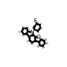 Fc1cccc(-n2c3ccccc3c3ccc4c5ccccc5oc4c32)c1